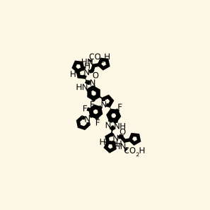 O=C(O)N[C@H](C(=O)N1[C@H](c2nc3cc([C@H]4CC[C@H](c5cc6nc([C@@H]7C[C@@H]8CCC[C@@H]8N7C(=O)[C@@H](NC(=O)O)C7CCCC7)[nH]c6cc5F)N4c4cc(F)c(N5CCCCC5)c(F)c4)c(F)cc3[nH]2)C[C@@H]2CCC[C@@H]21)C1CCCC1